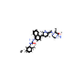 Cc1ccc(C(C)(C)C)cc1NC(=O)Nc1ccc(-c2ccc(CN3CCNC(=O)C3C)nc2)c2ccccc12